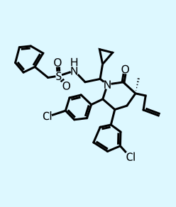 C=CC[C@@]1(C)CC(c2cccc(Cl)c2)C(c2ccc(Cl)cc2)N(C(CNS(=O)(=O)Cc2ccccc2)C2CC2)C1=O